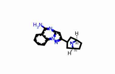 CN1[C@@H]2CC[C@H]1CC(c1cc3nc(N)c4ccccc4n3n1)C2